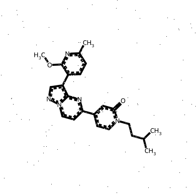 COc1nc(C)ccc1-c1cnn2ccc(-c3ccn(CCC(C)C)c(=O)c3)nc12